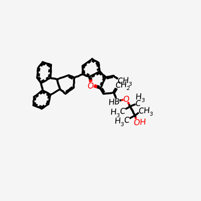 C=C(BOC(C)(C)C(C)(C)O)/C=c1/oc2c(C3=CC4c5ccccc5-c5ccccc5C4C=C3)cccc2/c1=C/C